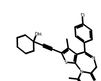 CC(=N)N1C(=N)CN=C(c2ccc(Cl)cc2)c2c1sc(C#CC1(O)CCCCC1)c2C